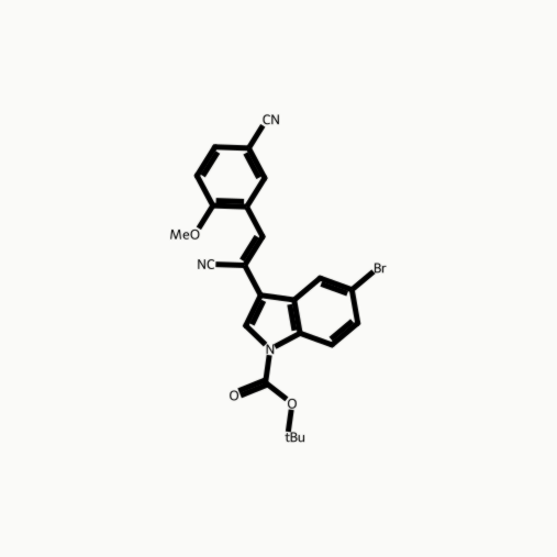 COc1ccc(C#N)cc1C=C(C#N)c1cn(C(=O)OC(C)(C)C)c2ccc(Br)cc12